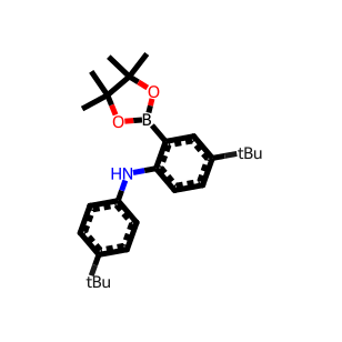 CC(C)(C)c1ccc(Nc2ccc(C(C)(C)C)cc2B2OC(C)(C)C(C)(C)O2)cc1